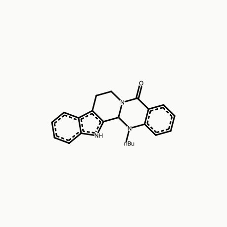 CCCCN1c2ccccc2C(=O)N2CCc3c([nH]c4ccccc34)C21